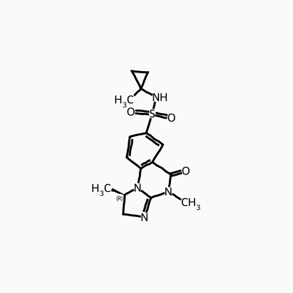 C[C@@H]1CN=C2N(C)C(=O)c3cc(S(=O)(=O)NC4(C)CC4)ccc3N21